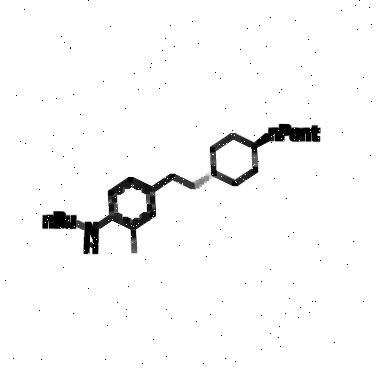 CCCCC[C@H]1CC[C@H](CCc2ccc(NCCCC)c(C)c2)CC1